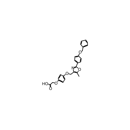 Cc1oc(-c2ccc(OCc3ccccc3)cc2)nc1COc1ccc(OCC(=O)O)cc1